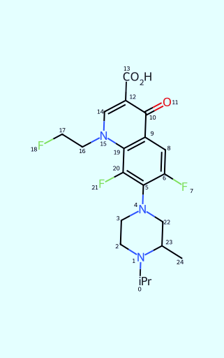 CC(C)N1CCN(c2c(F)cc3c(=O)c(C(=O)O)cn(CCF)c3c2F)CC1C